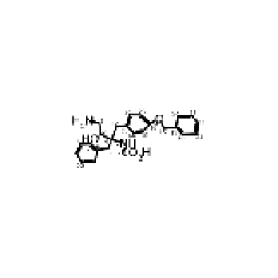 NC[C@@H](O)[C@](Cc1ccccc1)(Cc1ccc(OCc2ccccc2)cc1)NC(=O)O